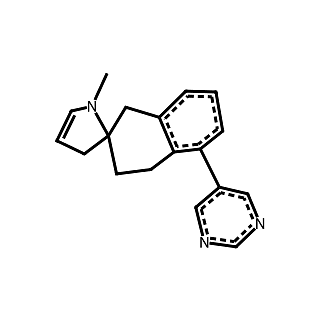 CN1C=CCC12CCc1c(cccc1-c1cncnc1)C2